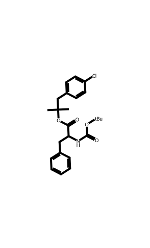 CC(C)(C)OC(=O)NC(Cc1ccccc1)C(=O)OC(C)(C)Cc1ccc(Cl)cc1